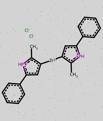 Cc1[pH]c(-c2ccccc2)c[c]1[Zr+2][c]1cc(-c2ccccc2)[pH]c1C.[Cl-].[Cl-]